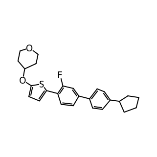 Fc1cc(-c2ccc(C3CCCC3)cc2)ccc1-c1ccc(OC2CCOCC2)s1